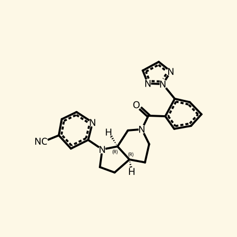 N#Cc1ccnc(N2CC[C@@H]3CCN(C(=O)c4ccccc4-n4nccn4)C[C@@H]32)c1